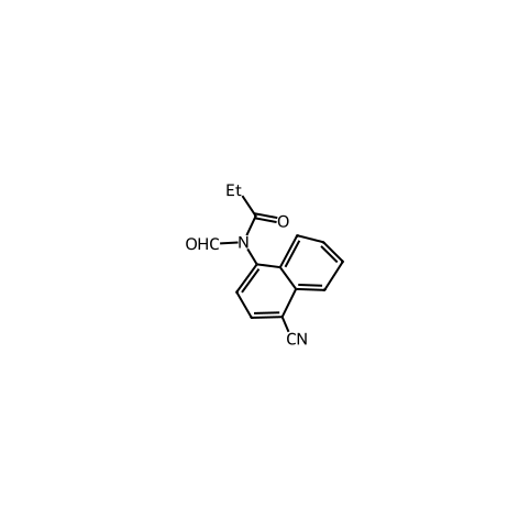 CCC(=O)N(C=O)c1ccc(C#N)c2ccccc12